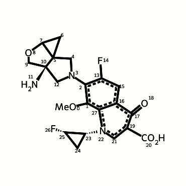 COc1c(N2CC34CC3OC[C@@]4(N)C2)c(F)cc2c(=O)c(C(=O)O)cn([C@@H]3C[C@@H]3F)c12